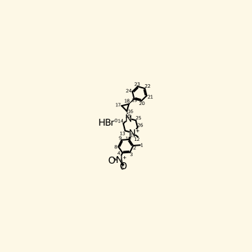 Br.Cc1cc([N+](=O)[O-])ccc1[N+]1(C)CCN([C@@H]2C[C@H]2c2ccccc2)CC1